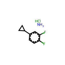 Cl.Fc1ccc(C2CC2)cc1F.N